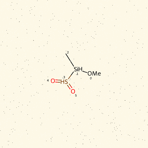 CO[SiH](C)[SH](=O)=O